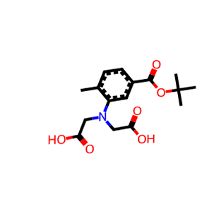 Cc1ccc(C(=O)OC(C)(C)C)cc1N(CC(=O)O)CC(=O)O